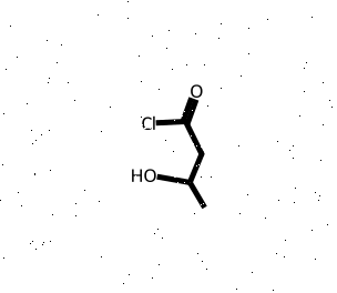 CC(O)CC(=O)Cl